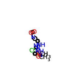 CN(C)S(=O)(=O)c1ccccc1Nc1nc(Nc2ccc3c(c2)CCN(CC2COCCO2)CC3)ncc1Cl